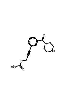 CCCCC(=O)NCC#Cc1cccc(C(=O)N2CCNCC2)c1